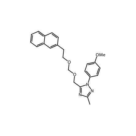 COc1ccc(-n2nc(C)nc2COCOCCc2ccc3ccccc3c2)cc1